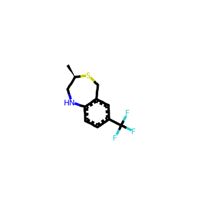 C[C@@H]1CNc2ccc(C(F)(F)F)cc2CS1